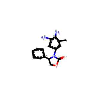 Cc1cc(N2C(=O)OCC2c2ccccc2)cc(N)c1N